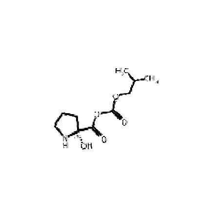 CC(C)COC(=O)OC(=O)[C@]1(O)CCCN1